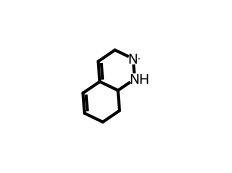 C1=CC2=CC[N]NC2CC1